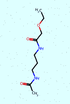 CCOCC(=O)NCCCNC(C)=O